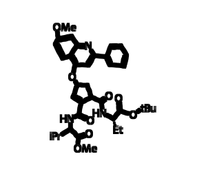 CC[C@H](NC(=O)C1CC(Oc2cc(-c3ccccc3)nc3cc(OC)ccc23)C=C1C(=O)NC(C(=O)OC)C(C)C)C(=O)OC(C)(C)C